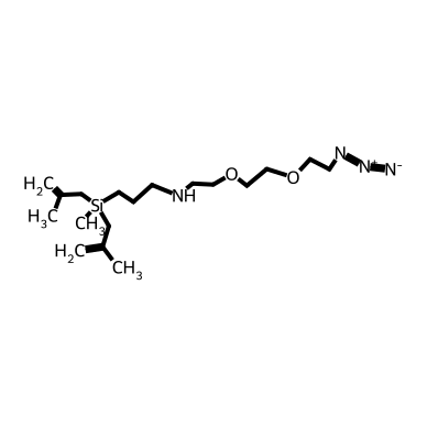 C=C(C)C[Si](C)(CCCNCCOCCOCCN=[N+]=[N-])CC(=C)C